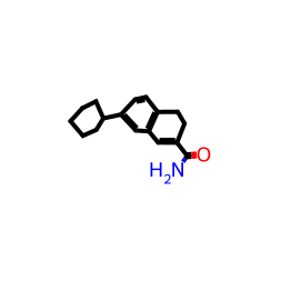 NC(=O)C1=Cc2cc(C3CCCCC3)ccc2CC1